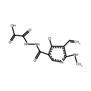 C=Cc1c(NC)ncc(C(=O)NNC(=O)C(=O)O)c1Cl